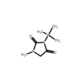 CN1CC(=O)N([Si](C)(C)C)C1=O